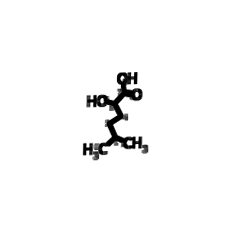 CC(C)CCC(O)C(=O)O